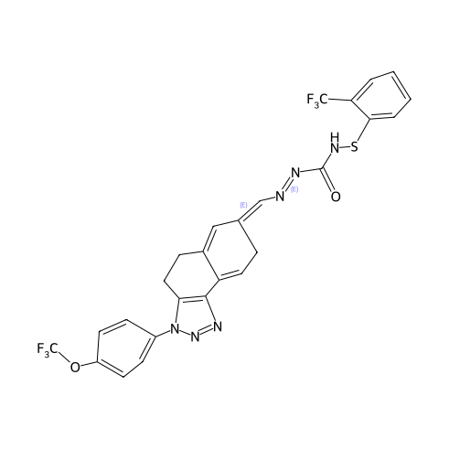 O=C(/N=N/C=C1/C=C2CCc3c(nnn3-c3ccc(OC(F)(F)F)cc3)C2=CC1)NSc1ccccc1C(F)(F)F